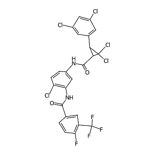 O=C(Nc1cc(NC(=O)C2C(c3cc(Cl)cc(Cl)c3)C2(Cl)Cl)ccc1Cl)c1ccc(F)c(C(F)(F)F)c1